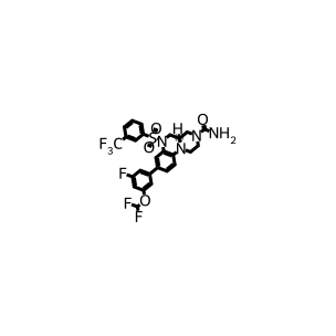 NC(=O)N1CCN2c3ccc(-c4cc(F)cc(OC(F)F)c4)cc3N(S(=O)(=O)c3cccc(C(F)(F)F)c3)C[C@@H]2C1